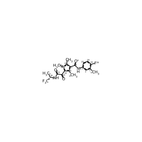 Cc1cc(NC(=O)c2c(C)c(C(=O)C(=O)N[C@@H](C)C(F)(F)F)n(C)c2C)ccc1F